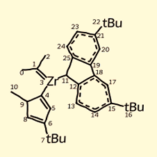 C[C](C)=[Zr]([C]1=CC(C(C)(C)C)=CC1C)[CH]1c2ccc(C(C)(C)C)cc2-c2cc(C(C)(C)C)ccc21